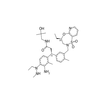 CC[C@@H]1CN(Cc2cc([C@H](CC(=O)NCC(C)(C)O)c3ccc(N(CC)NC)c(N)c3C)ccc2C)S(=O)(=O)c2cccnc2O1